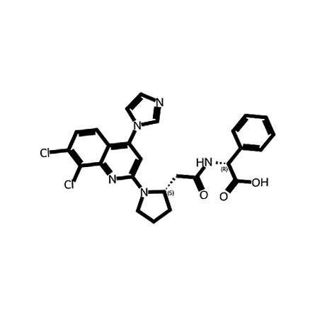 O=C(C[C@@H]1CCCN1c1cc(-n2ccnc2)c2ccc(Cl)c(Cl)c2n1)N[C@@H](C(=O)O)c1ccccc1